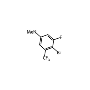 CNc1cc(F)c(Br)c(C(F)(F)F)c1